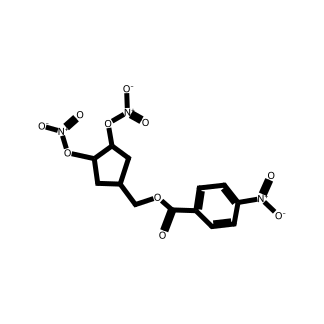 O=C(OCC1CC(O[N+](=O)[O-])C(O[N+](=O)[O-])C1)c1ccc([N+](=O)[O-])cc1